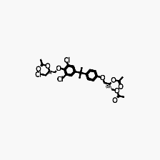 CC(=O)OC[C@H](COc1ccc(C(C)(C)c2cc(Cl)c(OC[C@@H](CCl)OC(C)=O)c(Cl)c2)cc1)OC(C)=O